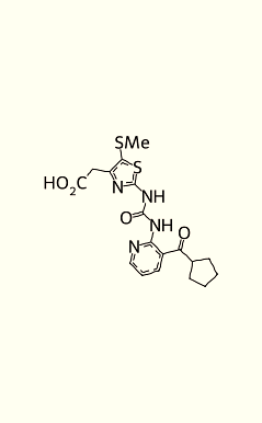 CSc1sc(NC(=O)Nc2ncccc2C(=O)C2CCCC2)nc1CC(=O)O